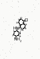 Nc1ccc(Nc2nccc3c(Cl)cccc23)nc1